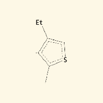 CCc1[c]c(C)sc1